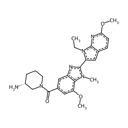 CCn1c(-c2nc3cc(C(=O)N4CCC[C@@H](N)C4)cc(OC)c3n2C)cc2ccc(OC)nc21